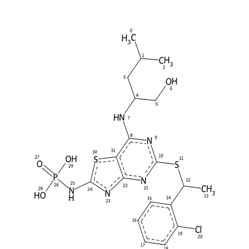 CC(C)CC(CO)Nc1nc(SC(C)c2ccccc2Cl)nc2nc(NP(=O)(O)O)sc12